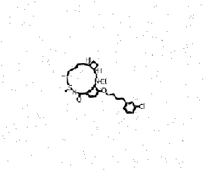 CCN1C[C@@H]2CC[C@H]2C/C=C/C[C@H](C)C/S(C)=N\C(=O)c2ccc(OCCCCc3cccc(Cl)c3)c1c2